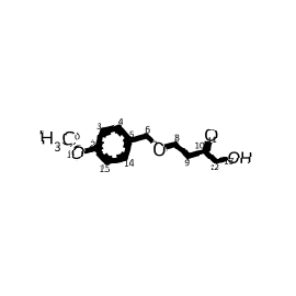 COc1ccc(COCCC(=O)CO)cc1